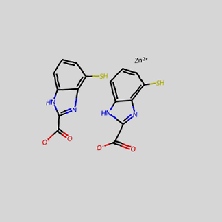 O=C([O-])c1nc2c(S)cccc2[nH]1.O=C([O-])c1nc2c(S)cccc2[nH]1.[Zn+2]